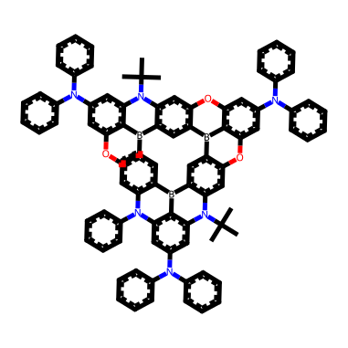 CC(C)(C)N1c2cc3c(cc2B2c4ccccc4Oc4cc(N(c5ccccc5)c5ccccc5)cc1c42)B1c2cc4c(cc2Oc2cc(N(c5ccccc5)c5ccccc5)cc(c21)O3)N(C(C)(C)C)c1cc(N(c2ccccc2)c2ccccc2)cc2c1B4c1ccccc1N2c1ccccc1